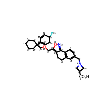 O=C(O)C1CN(Cc2ccc3c(c2)CCc2c-3noc2COCC2(C3=CCC(F)C=C3)CCCCC2)C1